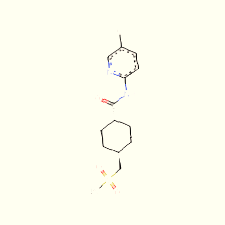 CC(C)(C)S(=O)(=O)C[C@H]1CC[C@H](C(=O)Nc2ccc(C(F)(F)F)cn2)CC1